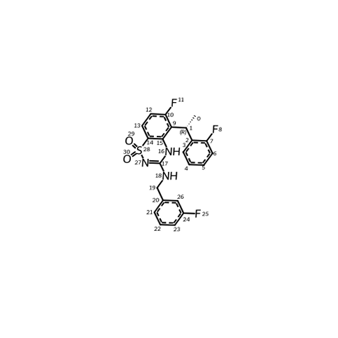 C[C@H](c1ccccc1F)c1c(F)ccc2c1NC(NCc1cccc(F)c1)=NS2(=O)=O